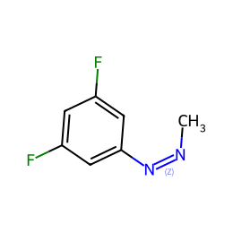 C/N=N\c1cc(F)cc(F)c1